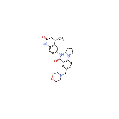 CC1CC(=O)Nc2ccc(NC(=O)c3cc(CN4CCOCC4)ccc3N3CCCC3)cc21